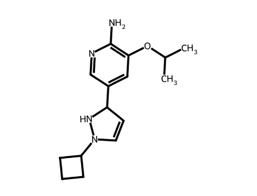 CC(C)Oc1cc(C2C=CN(C3CCC3)N2)cnc1N